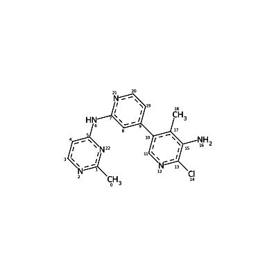 Cc1nccc(Nc2cc(-c3cnc(Cl)c(N)c3C)ccn2)n1